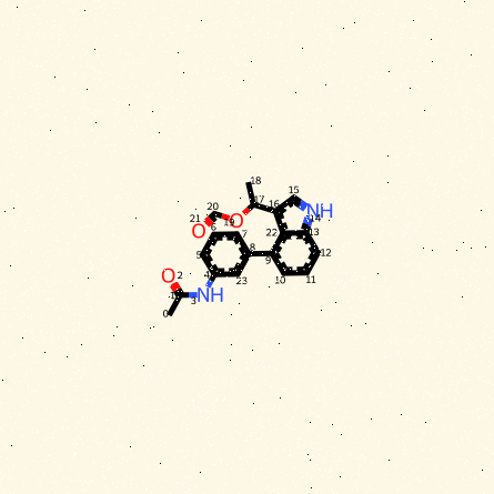 CC(=O)Nc1cccc(-c2cccc3[nH]cc(C(C)OC=O)c23)c1